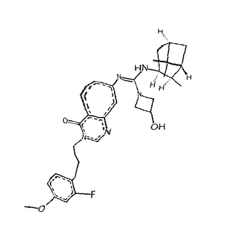 COc1ccc(CCn2cnc3cc(N=C(N[C@H]4C[C@H]5C[C@H]([C@H]4C)C5(C)C)N4CC(O)C4)ccc3c2=O)c(F)c1